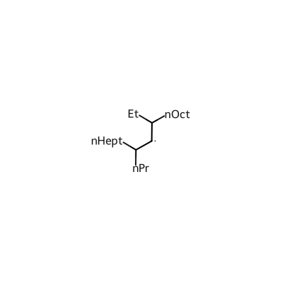 CCCCCCCCC([CH]C(CCC)CCCCCCC)CC